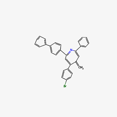 C=C1C=C(c2ccccc2)N=C(c2ccc(-c3ccccc3)cc2)C=C1c1ccc(Br)cc1